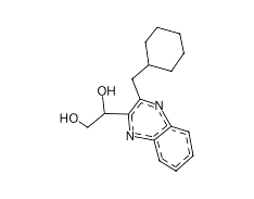 OCC(O)c1nc2ccccc2nc1CC1CCCCC1